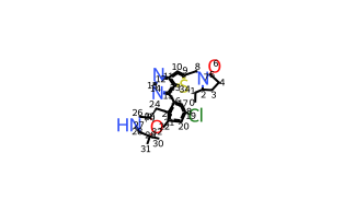 CCC1CCC(=O)N1Cc1cc2ncnc(-c3cc(Cl)cc(C)c3C[C@@H]3CNCC(C)(C)O3)c2s1